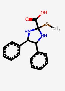 CSC1(C(=O)O)NC(c2ccccc2)C(c2ccccc2)N1